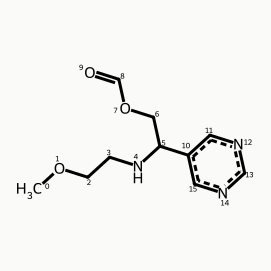 COCCNC(COC=O)c1cncnc1